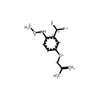 C=C(C)COc1ccc(NOC)c(C(F)F)c1